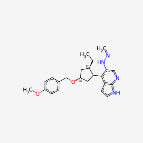 C=NNc1cnc2[nH]ccc2c1C1C[C@@H](OCc2ccc(OC)cc2)C[C@H]1CC